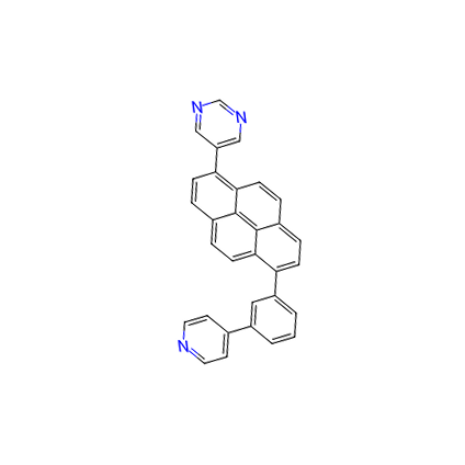 c1cc(-c2ccncc2)cc(-c2ccc3ccc4c(-c5cncnc5)ccc5ccc2c3c54)c1